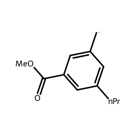 [CH2]c1cc(CCC)cc(C(=O)OC)c1